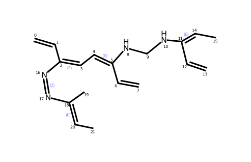 C=CC(=C\C=C(/C=C)NCN/C(C=C)=C/C)/N=N\C(C)=C\C